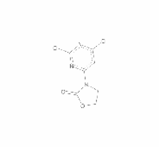 O=C1OCCN1c1cc(Cl)nc(Cl)n1